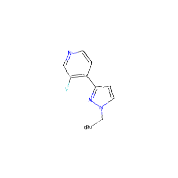 CC(C)(C)Cn1ccc(-c2ccncc2F)n1